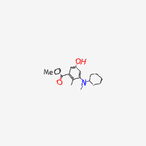 COC(=O)c1cc(O)cc(N(C)C2CCCCC2)c1C